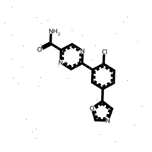 NC(=O)c1cnc(-c2cc(-c3cnco3)ccc2Cl)cn1